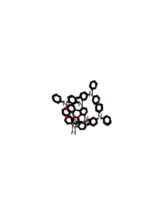 N#Cc1ccccc1-c1c(-n2c3cc(Nc4ccccc4)ccc3c3ccc(N(c4ccccc4)c4ccccc4)cc32)ccc(-n2c3cc(N(c4ccccc4)c4ccccc4)ccc3c3ccc(N(c4ccccc4)c4ccccc4)cc32)c1-c1ccccc1C#N